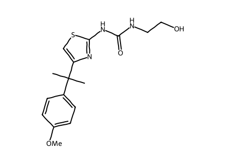 COc1ccc(C(C)(C)c2csc(NC(=O)NCCO)n2)cc1